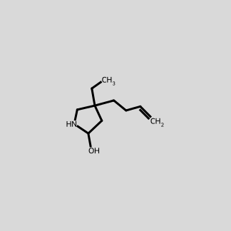 C=CCCC1(CC)CNC(O)C1